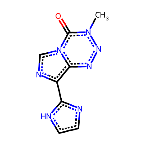 Cn1nnc2c(-c3ncc[nH]3)ncn2c1=O